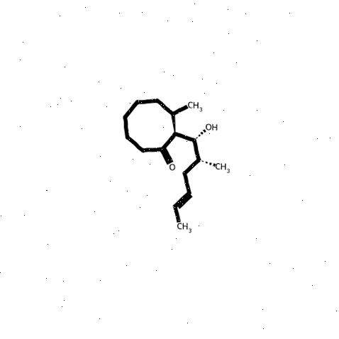 C/C=C/C[C@@H](C)[C@@H](O)[C@H]1C(=O)CCCCCC1C